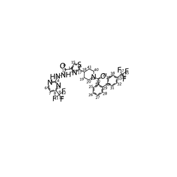 O=C(NNc1nccc(C(F)(F)F)n1)c1csc(C2CCN(C(=O)c3ccccc3-c3ccc(C(F)(F)F)cc3)CC2)n1